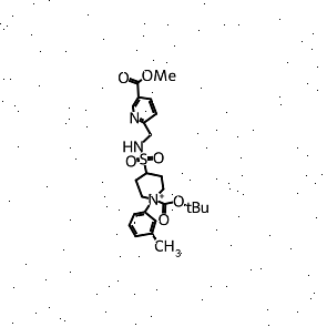 COC(=O)c1ccc(CNS(=O)(=O)C2CC[N+](C(=O)OC(C)(C)C)(c3cccc(C)c3)CC2)nc1